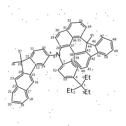 CCC(CC)(CC)c1ccc(N(c2ccc3c(c2)-c2cc4ccccc4cc2C3(C)C)c2ccc3cccc4c3c2-c2cccc3c2C4(C)c2ccccc2-3)cc1